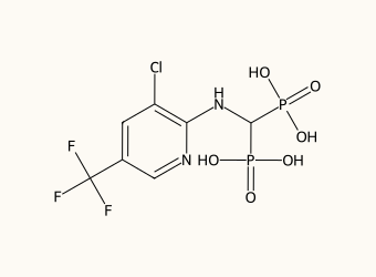 O=P(O)(O)C(Nc1ncc(C(F)(F)F)cc1Cl)P(=O)(O)O